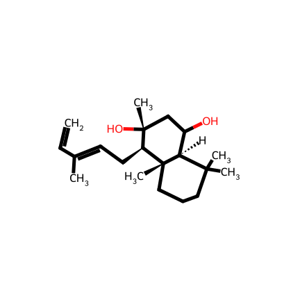 C=C/C(C)=C/C[C@@H]1[C@@]2(C)CCCC(C)(C)[C@@H]2C(O)C[C@@]1(C)O